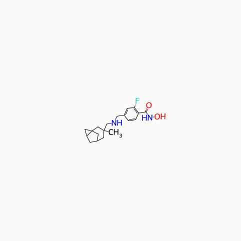 CC1(CNCc2ccc(C(=O)NO)c(F)c2)CC2CC3CC3(C2)C1